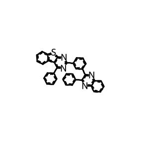 c1ccc(-c2nc3ccccc3nc2-c2cccc(-c3nc(-c4ccccc4)c4c(n3)sc3ccccc34)c2)cc1